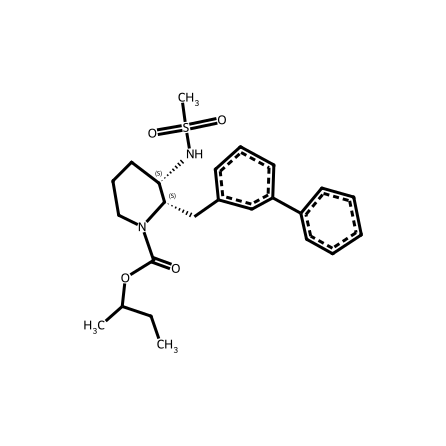 CCC(C)OC(=O)N1CCC[C@H](NS(C)(=O)=O)[C@@H]1Cc1cccc(-c2ccccc2)c1